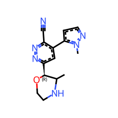 CC1NCCO[C@H]1c1cc(-c2ccnn2C)c(C#N)nn1